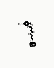 Cc1ccc2c(c1)NC(CCC(=O)NCCCOC13CC4CC(CC(C4)C1)C3)=NS2